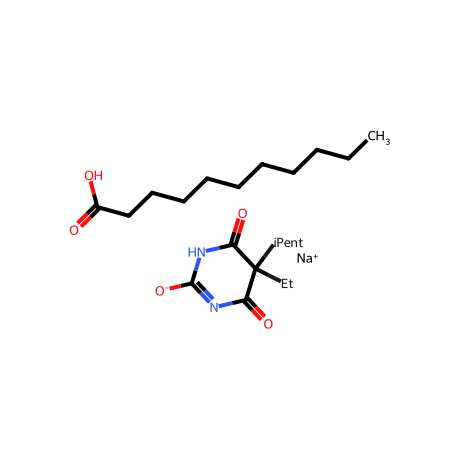 CCCC(C)C1(CC)C(=O)N=C([O-])NC1=O.CCCCCCCCCCC(=O)O.[Na+]